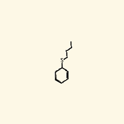 CCCCSC1C=CCCC1